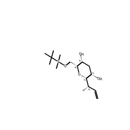 C=C[C@H](C)[C@@H]1O[C@H](CO[Si](C)(C)C(C)(C)C)[C@H](O)C[C@@H]1O